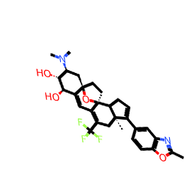 Cc1nc2cc(C3=CCC4[C@]3(C)CC(C(F)(F)F)=C3C=C5[C@@H](O)[C@H](O)[C@@H](N(C)C)C[C@]56CC[C@@]34O6)ccc2o1